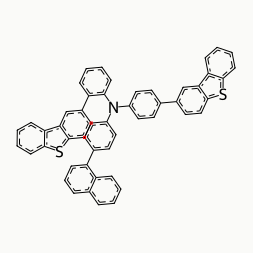 c1ccc(N(c2ccc(-c3ccc4sc5ccccc5c4c3)cc2)c2ccc(-c3cccc4ccccc34)cc2)c(-c2ccc3sc4ccccc4c3c2)c1